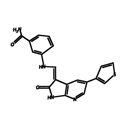 NC(=O)c1cccc(N/C=C2\C(=O)Nc3ncc(-c4ccsc4)cc32)c1